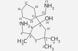 CC1(C)CC(C)(CN)CC(O)(C2(CN)CCCCC2)C1